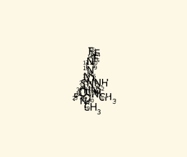 Cc1cc(Nc2cc(N3CCN(CC(F)(F)F)CC3)nc(Sc3cc(F)c4nc(C)ccc4c3)n2)[nH]n1